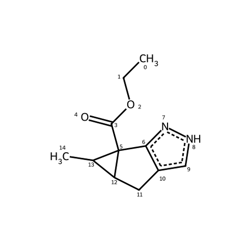 CCOC(=O)C12c3n[nH]cc3CC1C2C